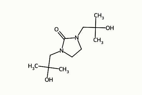 CC(C)(O)CN1CCN(CC(C)(C)O)C1=O